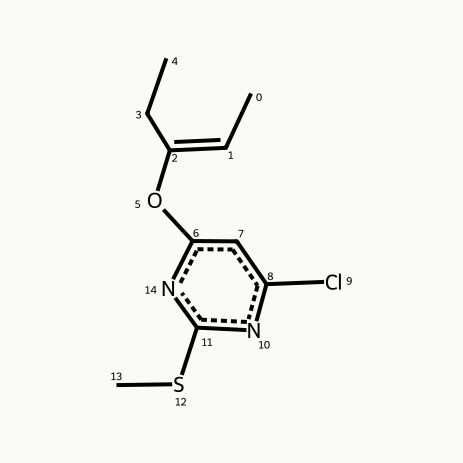 CC=C(CC)Oc1cc(Cl)nc(SC)n1